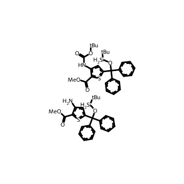 COC(=O)c1sc(C(O[SiH2]C(C)(C)C)(c2ccccc2)c2ccccc2)cc1N.COC(=O)c1sc(C(O[SiH2]C(C)(C)C)(c2ccccc2)c2ccccc2)cc1NC(=O)OC(C)(C)C